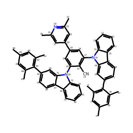 Cc1cc(C)c(-c2ccc3c4ccccc4n(-c4cc(-c5cc(C)nc(C)c5)cc(-n5c6ccccc6c6ccc(-c7c(C)cc(C)cc7C)cc65)c4C#N)c3c2)c(C)c1